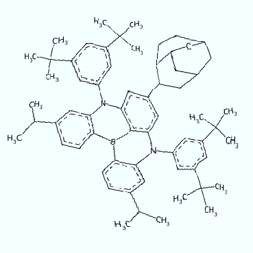 CC(C)c1ccc2c(c1)N(c1cc(C(C)(C)C)cc(C(C)(C)C)c1)c1cc(C3CC4CC5CCC3C(C5)C4)cc3c1B2c1ccc(C(C)C)cc1N3c1cc(C(C)(C)C)cc(C(C)(C)C)c1